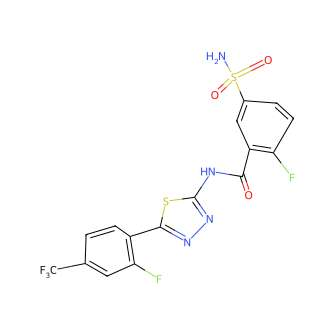 NS(=O)(=O)c1ccc(F)c(C(=O)Nc2nnc(-c3ccc(C(F)(F)F)cc3F)s2)c1